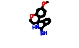 COc1ccc2c(c1)OCCC21NC(=N)c2ccccc21